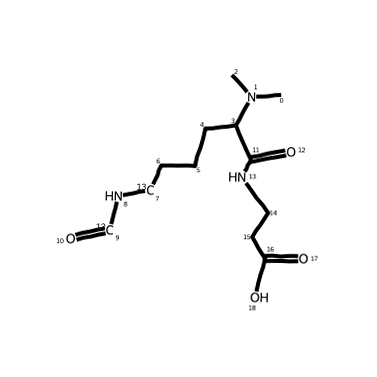 CN(C)C(CCC[13CH2]N[13CH]=O)C(=O)NCCC(=O)O